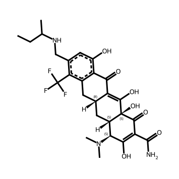 CCC(C)NCc1cc(O)c2c(c1C(F)(F)F)C[C@H]1C[C@H]3[C@H](N(C)C)C(O)=C(C(N)=O)C(=O)[C@@]3(O)C(O)=C1C2=O